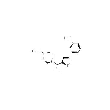 CCOC(=O)N1CCN(C(C)c2cc(-c3cccc(C)c3)on2)CC1